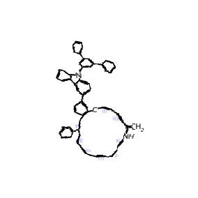 C=C1/C=C\C=C/Cc2cc(-c3ccc4c(c3)c3ccccc3n4-c3cc(-c4ccccc4)cc(-c4ccccc4)c3)ccc2\C=C(c2ccccc2)/C=C/C=C/C=C\C=C/C=C/N1